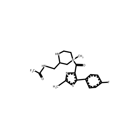 Cc1nc(C(=O)[N+]2(C)CCNC(CNC(=O)C(F)(F)F)C2)c(-c2ccc(F)cc2)s1